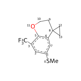 CSc1cc(C(F)(F)F)c2c(c1)C1(CCO2)CC1